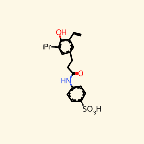 C=Cc1cc(CCC(=O)Nc2ccc(S(=O)(=O)O)cc2)cc(C(C)C)c1O